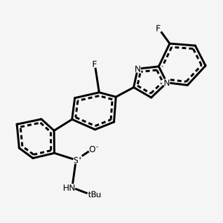 CC(C)(C)N[S+]([O-])c1ccccc1-c1ccc(-c2cn3cccc(F)c3n2)c(F)c1